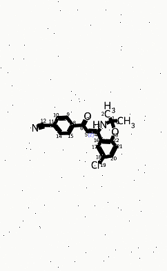 CC1(C)N/C(=C\C(=O)c2ccc(C#N)cc2)c2cc(Cl)ccc2O1